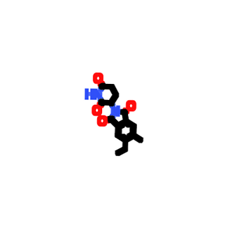 CCc1cc2c(cc1C)C(=O)N(C1CCC(=O)NC1=O)C2=O